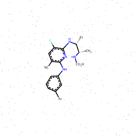 CC[C@@H](Nc1nc(Nc2cccc(C(C)=O)c2)c(C#N)cc1F)[C@H](C)NC(=O)O